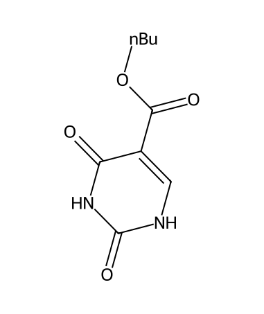 CCCCOC(=O)c1c[nH]c(=O)[nH]c1=O